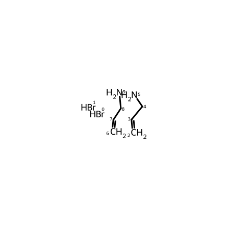 Br.Br.C=CCN.C=CCN